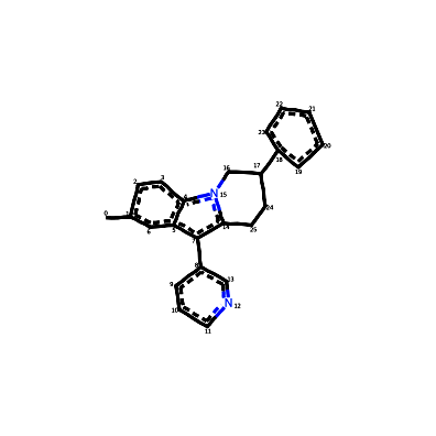 Cc1ccc2c(c1)c(-c1cccnc1)c1n2CC(c2ccccc2)CC1